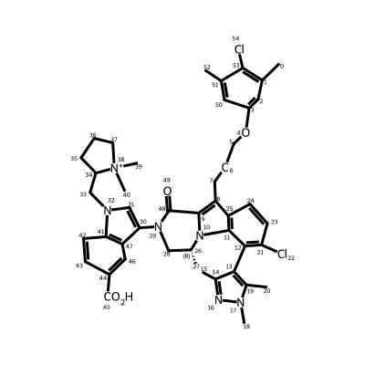 Cc1cc(OCCCc2c3n(c4c(-c5c(C)nn(C)c5C)c(Cl)ccc24)[C@H](C)CN(c2cn(CC4CCC[N+]4(C)C)c4ccc(C(=O)O)cc24)C3=O)cc(C)c1Cl